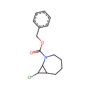 O=C(OCc1ccccc1)N1CCCCC2C(Cl)C21